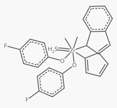 [CH3][Zr]([CH3])(=[SiH2])([O]c1ccc(F)cc1)([O]c1ccc(F)cc1)([C]1=CC=CC1)[CH]1C=Cc2ccccc21